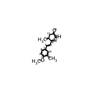 COc1ccc(C=CC2=NNC(=O)CC2C)cc1C